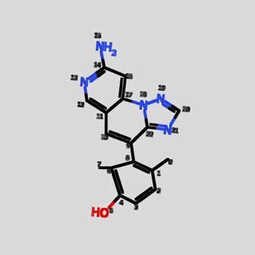 Cc1ccc(O)c(C)c1-c1cc2cnc(N)cc2n2ncnc12